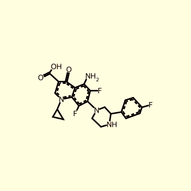 Nc1c(F)c(N2CCNC(c3ccc(F)cc3)C2)c(F)c2c1c(=O)c(C(=O)O)cn2C1CC1